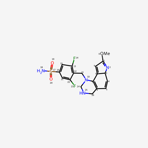 COC1=NC2C=CC3=C(C2=C1)N(Cc1c(F)cc(S(N)(=O)=O)cc1F)CNC3